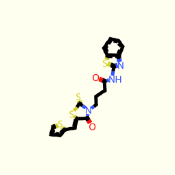 O=C(CCCN1C(=O)/C(=C/c2cccs2)SC1=S)Nc1nc2ccccc2s1